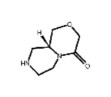 O=C1COC[C@H]2CNCCN12